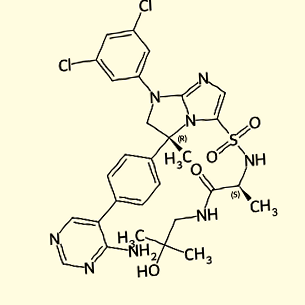 C[C@H](NS(=O)(=O)c1cnc2n1[C@](C)(c1ccc(-c3cncnc3N)cc1)CN2c1cc(Cl)cc(Cl)c1)C(=O)NCC(C)(C)O